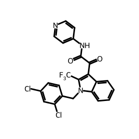 O=C(Nc1ccncc1)C(=O)c1c(C(F)(F)F)n(Cc2ccc(Cl)cc2Cl)c2ccccc12